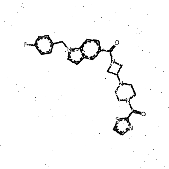 O=C(c1ccc2c(ccn2Cc2ccc(F)cc2)c1)N1CC(N2CCN(C(=O)c3nccs3)CC2)C1